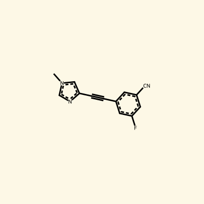 Cn1cnc(C#Cc2cc(F)cc(C#N)c2)c1